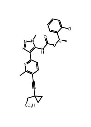 Cc1nc(-c2nnn(C)c2NC(=O)O[C@H](C)c2ccccc2Cl)ccc1C#CC1(CC(=O)O)CC1